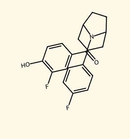 O=C(c1ccc(O)c(F)c1)N1C2CCC1CC(c1ccc(F)cc1)C2